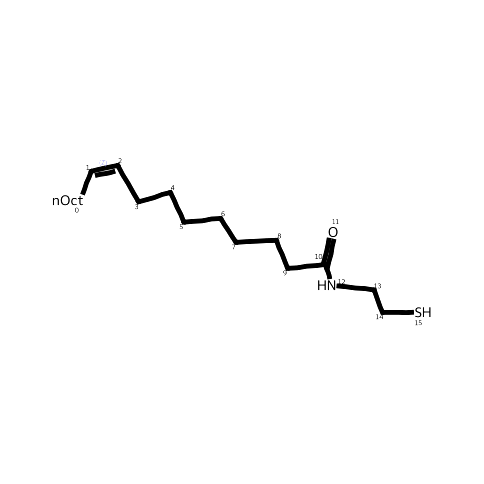 CCCCCCCC/C=C\CCCCCCCC(=O)NCCS